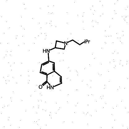 CC(C)CCN1CC(Nc2ccc3c(=O)[nH]ccc3c2)C1